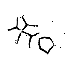 C1CCOC1.CC(C)[Si](Cl)(C(C)C)C(C)C